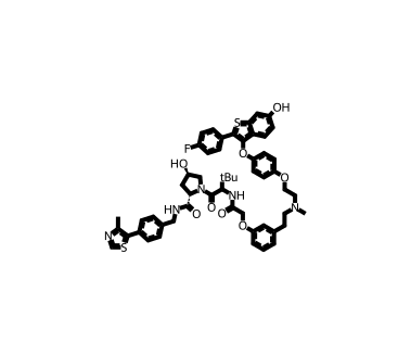 Cc1ncsc1-c1ccc(CNC(=O)[C@@H]2C[C@@H](O)CN2C(=O)C(NC(=O)COc2cccc(CCN(C)CCOc3ccc(Oc4c(-c5ccc(F)cc5)sc5cc(O)ccc45)cc3)c2)C(C)(C)C)cc1